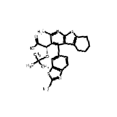 Cc1nc2ccc(-c3c([C@H](OC(C)(C)C)C(=O)O)c(C)nc4sc5c(c34)CCCC5)cc2s1